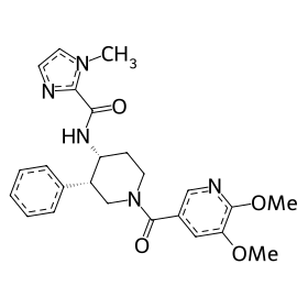 COc1cc(C(=O)N2CC[C@@H](NC(=O)c3nccn3C)[C@@H](c3ccccc3)C2)cnc1OC